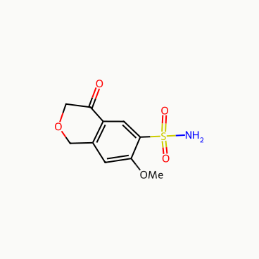 COc1cc2c(cc1S(N)(=O)=O)C(=O)COC2